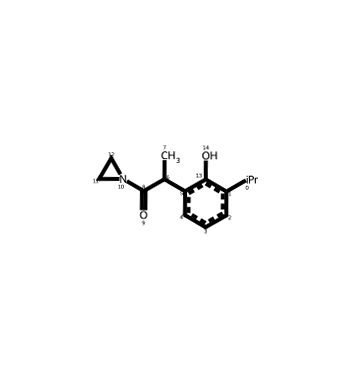 CC(C)c1cccc(C(C)C(=O)N2CC2)c1O